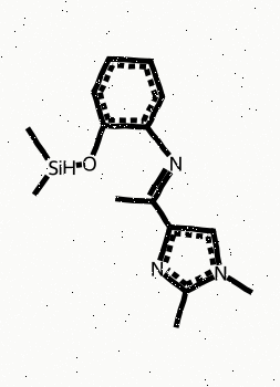 CC(=Nc1ccccc1O[SiH](C)C)c1cn(C)c(C)n1